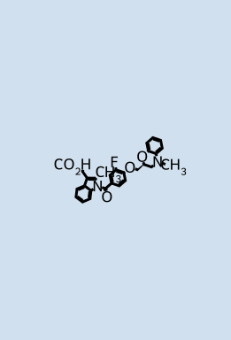 Cc1c(CC(=O)O)c2ccccc2n1C(=O)c1ccc(OC[C@@H]2CN(C)c3ccccc3O2)c(F)c1